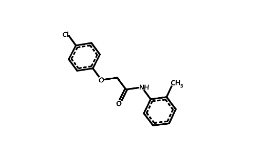 Cc1ccccc1NC(=O)COc1ccc(Cl)cc1